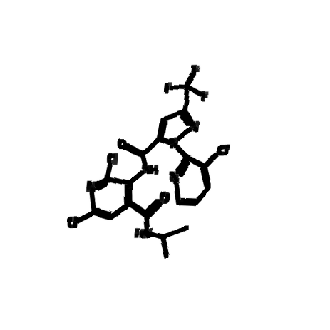 CC(C)NC(=O)c1cc(Cl)nc(Cl)c1NC(=O)c1cc(C(F)(F)F)nn1-c1ncccc1Cl